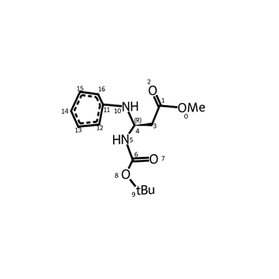 COC(=O)C[C@@H](NC(=O)OC(C)(C)C)Nc1ccccc1